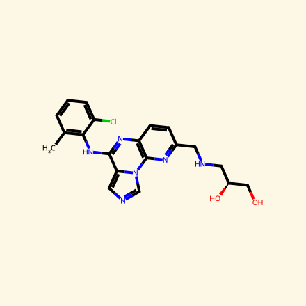 Cc1cccc(Cl)c1Nc1nc2ccc(CNC[C@H](O)CO)nc2n2cncc12